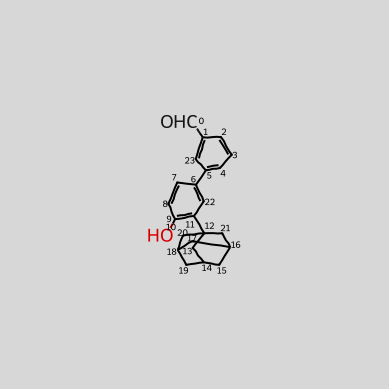 O=Cc1cccc(-c2ccc(O)c(C34CC5CC(CC(C5)C3)C4)c2)c1